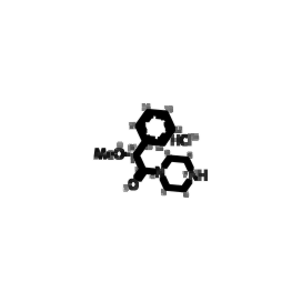 CO[C@@H](C(=O)N1CCNCC1)c1ccccc1.Cl